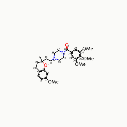 COc1ccc2c(c1)OC(C)(CCN1CCN(C(=O)c3cc(OC)c(OC)c(OC)c3)CC1)CC2